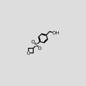 O=S(=O)(c1ccc(CO)cc1)C1COC1